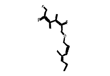 CC/C=C(C)\C=C/COC/C(F)=C(C)\C(C)=C(\F)CF